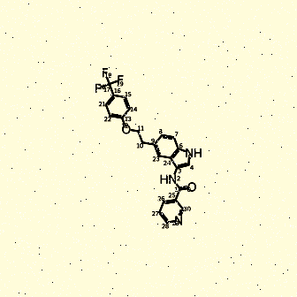 O=C(Nc1c[nH]c2ccc(CCOc3ccc(C(F)(F)F)cc3)cc12)c1cccnc1